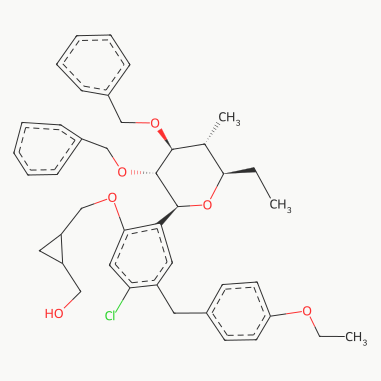 CCOc1ccc(Cc2cc([C@@H]3O[C@H](CC)[C@@H](C)[C@H](OCc4ccccc4)[C@H]3OCc3ccccc3)c(OCC3CC3CO)cc2Cl)cc1